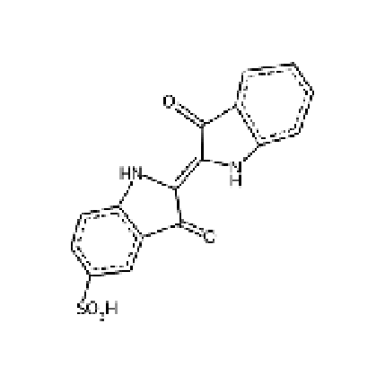 O=C1/C(=C2\Nc3ccc(S(=O)(=O)O)cc3C2=O)Nc2ccccc21